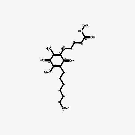 CCCCCCCCCCCCCCCCC1=C(OC)C(=O)C(C)=C(NCCCC(=O)OCCCC)C1=O